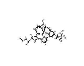 CCOC(=O)c1nc(-c2cccc(-c3cc(C(C)(C)S(C)(=O)=O)cc4cccnc34)c2)c(-c2ccc(SC)cc2)s1